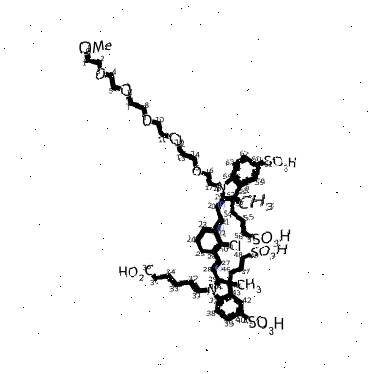 COCCOCCOCCOCCOCCOCCN1/C(=C/C=C2\CCCC(/C=C/C3=[N+](CCCCCC(=O)O)c4ccc(S(=O)(=O)O)cc4C3(C)CCCS(=O)(=O)O)=C2Cl)C(C)(CCCS(=O)(=O)O)c2cc(S(=O)(=O)O)ccc21